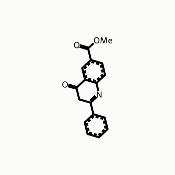 COC(=O)c1ccc2c(c1)C(=O)CC(c1ccccc1)=N2